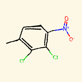 Cc1ccc([N+](=O)[O-])c(Cl)c1Cl